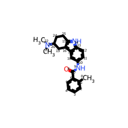 Cc1ccccc1C(=O)Nc1ccc2[nH]c3c(c2c1)CC(N(C)C)CC3